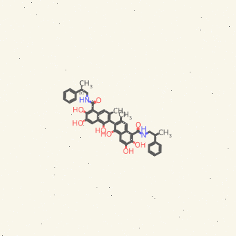 Cc1cc2c(C(=O)NCC(C)c3ccccc3)c(O)c(O)cc2c(O)c1-c1c(C)cc2c(C(=O)NC[C@H](C)c3ccccc3)c(O)c(O)cc2c1O